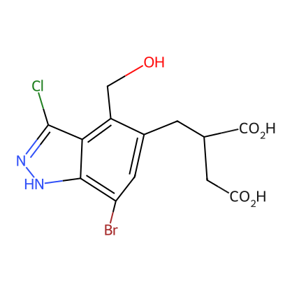 O=C(O)CC(Cc1cc(Br)c2[nH]nc(Cl)c2c1CO)C(=O)O